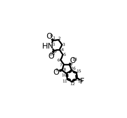 O=C1CCC(CCC2C(=O)c3ccc(F)cc3C2=O)C(=O)N1